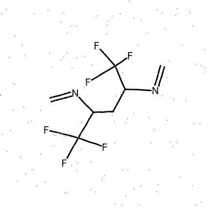 C=NC(CC(N=C)C(F)(F)F)C(F)(F)F